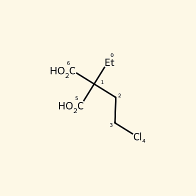 CCC(CCCl)(C(=O)O)C(=O)O